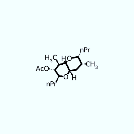 CCC[C@@H]1O[C@H]2C[C@@H](C)[C@@H](CCC)O[C@H]2[C@H](C)[C@H]1OC(C)=O